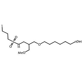 CCCCCCCCCCCCCCCCOCC(CNS(=O)(=O)CCCI)COC